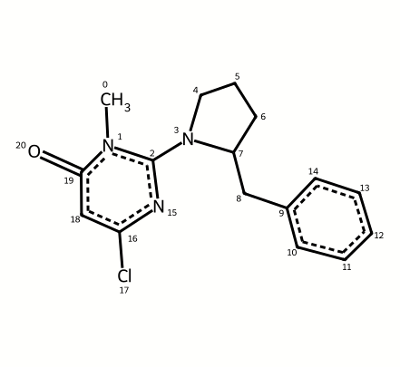 Cn1c(N2CCCC2Cc2ccccc2)nc(Cl)cc1=O